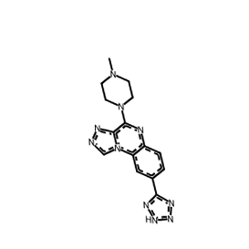 CN1CCN(c2nc3ccc(-c4nn[nH]n4)cc3n3cnnc23)CC1